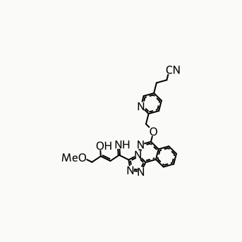 COC/C(O)=C/C(=N)c1nnc2c3ccccc3c(OCc3ccc(CCC#N)cn3)nn12